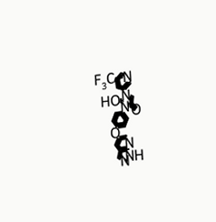 O=C1CN(c2cncc(C(F)(F)F)c2)C(O)N1c1ccc(Oc2cnc3[nH]ncc3c2)cc1